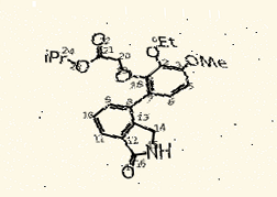 CCOc1c(OC)ccc(-c2cccc3c2CNC3=O)c1OCC(=O)OC(C)C